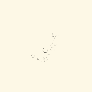 NS(=O)(=O)OC[C@H]1C[C@@H](Nc2ncncc2C(=O)c2ccn(CC#Cc3ccco3)n2)C[C@@H]1O